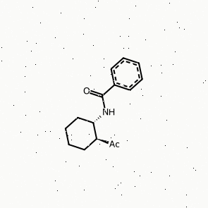 CC(=O)[C@H]1CCCC[C@@H]1NC(=O)c1ccccc1